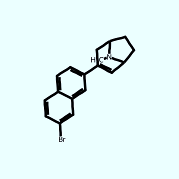 CN1C2C=C(c3ccc4ccc(Br)cc4c3)CC1CC2